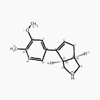 COc1cc(C2=CC[C@H]3CNC[C@@H]23)cnc1C